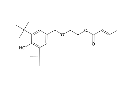 C/C=C/C(=O)OCCOCc1cc(C(C)(C)C)c(O)c(C(C)(C)C)c1